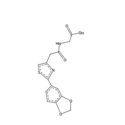 O=C(O)CNC(=O)Cc1csc(-c2ccc3c(c2)OCO3)n1